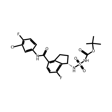 CC(C)(C)OC(=O)NS(=O)(=O)N[C@H]1CCc2c(C(=O)Nc3ccc(F)c(Cl)c3)ccc(F)c21